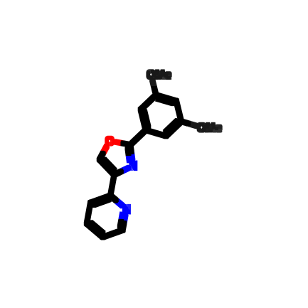 COc1cc(OC)cc(-c2nc(-c3ccccn3)co2)c1